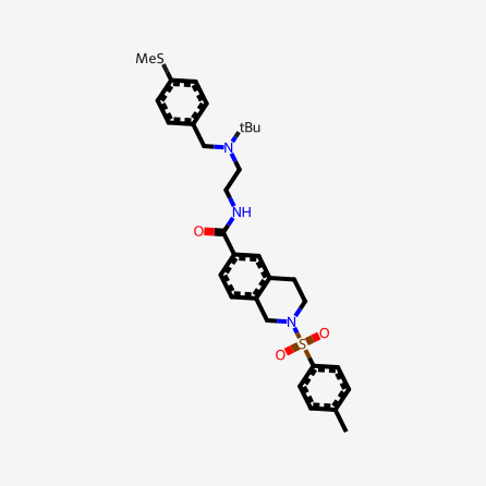 CSc1ccc(CN(CCNC(=O)c2ccc3c(c2)CCN(S(=O)(=O)c2ccc(C)cc2)C3)C(C)(C)C)cc1